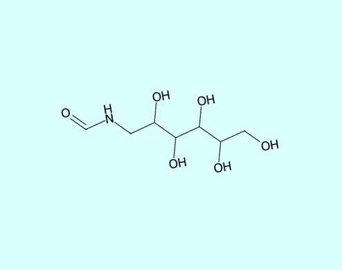 O=CNCC(O)C(O)C(O)C(O)CO